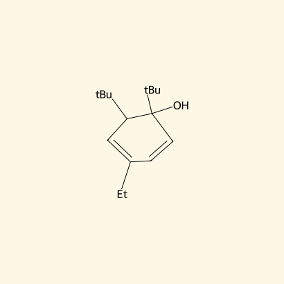 CCC1=CC(C(C)(C)C)C(O)(C(C)(C)C)C=C1